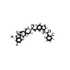 CN(C)C1(c2ccc(F)cc2)CCC2(CCN(C(=O)Cc3ccc4c(c3)C(NC(=O)c3ccccc3Cl)CC4)CC2)CC1